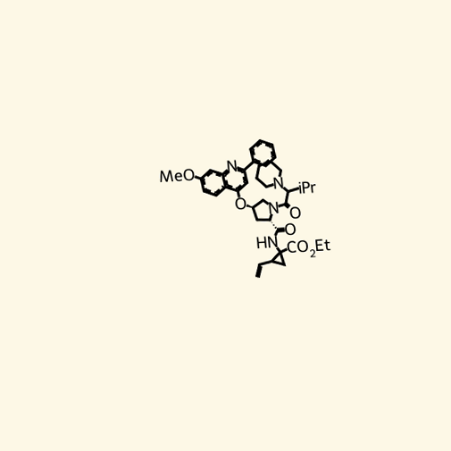 C=CC1CC1(NC(=O)[C@@H]1C[C@@H](Oc2cc(-c3ccccc3)nc3cc(OC)ccc23)CN1C(=O)C(C(C)C)N1CCCCC1)C(=O)OCC